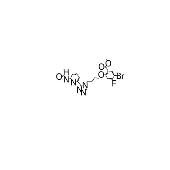 COC(=O)c1cc(Br)c(F)cc1OCCCCn1cnnc1-c1cccc(NC=O)n1